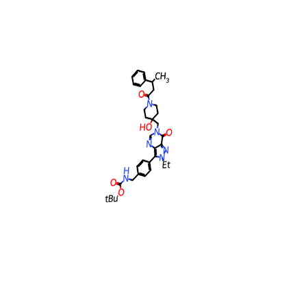 CCn1nc2c(=O)n(CC3(O)CCN(C(=O)CC(C)c4ccccc4)CC3)cnc2c1-c1ccc(CNC(=O)OC(C)(C)C)cc1